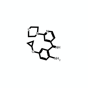 N=C(c1ccnc(N2CCSCC2)c1)c1cc(OC2CC2)ccc1N